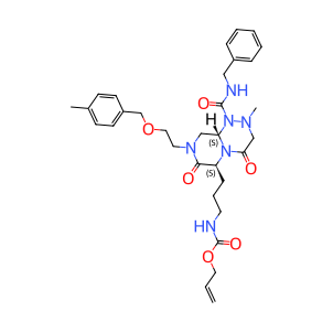 C=CCOC(=O)NCCC[C@H]1C(=O)N(CCOCc2ccc(C)cc2)C[C@H]2N1C(=O)CN(C)N2C(=O)NCc1ccccc1